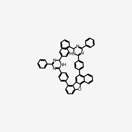 c1ccc(C2=NC(c3ccccc3)NC(c3ccc(-c4cc5c(oc6cccc(-c7ccc(C8=NC(c9ccccc9)=NC(c9ccccc9)N8)cc7)c65)c5ccccc45)cc3)=N2)cc1